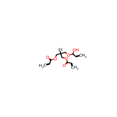 C=CC(=O)OCC(CC)(COC(=O)C=C)COC(O)C=C